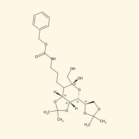 CC1(C)O[C@H]2[C@@H]([C@H]3COC(C)(C)O3)O[C@@](O)(CO)C(CCCNC(=O)OCc3ccccc3)[C@H]2O1